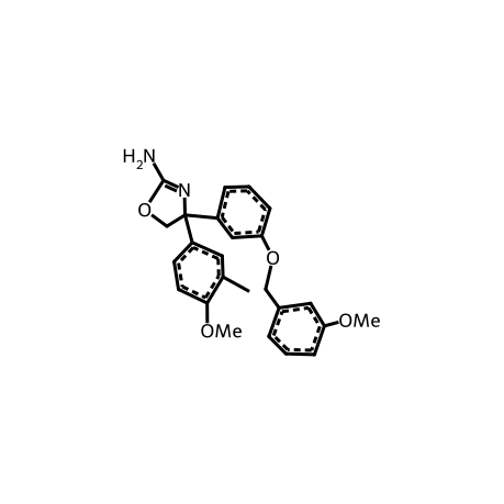 COc1cccc(COc2cccc(C3(c4ccc(OC)c(C)c4)COC(N)=N3)c2)c1